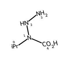 CC(C)N(NN)C(=O)O